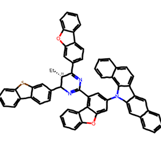 CC[C@@H]1C(c2ccc3c(c2)oc2ccccc23)=NC(c2cc(-n3c4cc5ccccc5cc4c4ccc5ccccc5c43)cc3oc4ccccc4c23)=NC1c1ccc2c(c1)sc1ccccc12